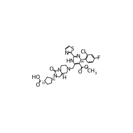 COC(=O)C1=C(CN2CCN3C(=O)N([C@@H]4CC[C@H](C(=O)O)C4)C[C@@H]3C2)NC(c2nccs2)=N[C@H]1c1ccc(F)cc1Cl